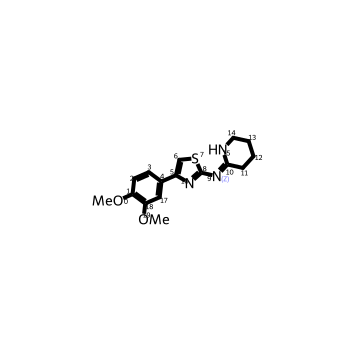 COc1ccc(-c2csc(/N=C3/CCCCN3)n2)cc1OC